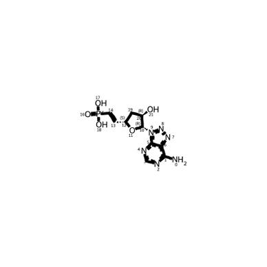 Nc1ncnc2c1nnn2[C@@H]1O[C@H](C=CP(=O)(O)O)C[C@H]1O